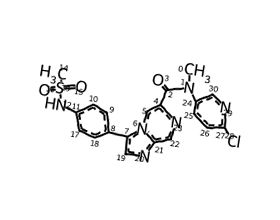 CN(C(=O)c1cn2c(-c3ccc(NS(C)(=O)=O)cc3)cnc2cn1)c1ccc(Cl)nc1